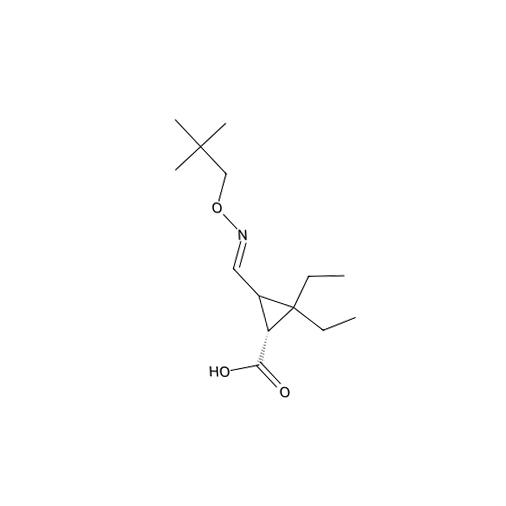 CCC1(CC)C(C=NOCC(C)(C)C)[C@H]1C(=O)O